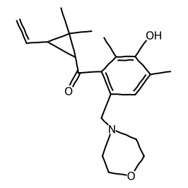 C=CC1C(C(=O)c2c(CN3CCOCC3)cc(C)c(O)c2C)C1(C)C